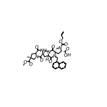 C=CCOC(=O)N1C[C@@]2(C[C@H]1C(=O)O)C(=O)N1C[C@]3(C[C@H]1C(=O)N2Cc1cccc2ccccc12)NC(=O)C1C[C@@](C)(C(=O)OC)CN1C3=O